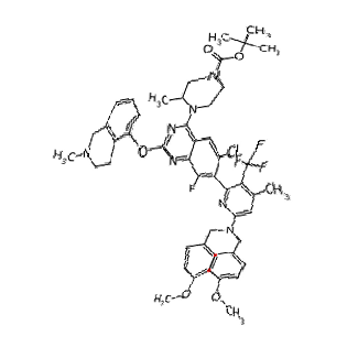 COc1ccc(CN(Cc2ccc(OC)cc2)c2cc(C)c(C(F)(F)F)c(-c3c(Cl)cc4c(N5CCN(C(=O)OC(C)(C)C)CC5C)nc(Oc5cccc6c5CCN(C)C6)nc4c3F)n2)cc1